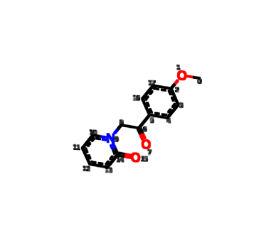 COc1ccc(C(=O)Cn2ccccc2=O)cc1